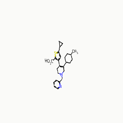 CC1CCC(C2=C(c3cc(C4CC4)sc3C(=O)O)CCN(Cc3ccccn3)C2)CC1